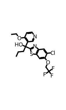 CCCC(O)(c1nc2cc(Cl)c(OCC(F)(F)F)cc2s1)c1cnccc1OCC